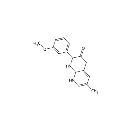 COc1cccc(C2NC3NC=C(C)C=C3CC2=O)c1